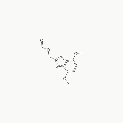 COc1ccc(OC)c2sc(COC=O)cc12